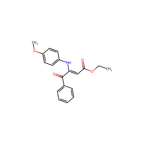 CCOC(=O)/C=C(\Nc1ccc(OC)cc1)C(=O)c1ccccc1